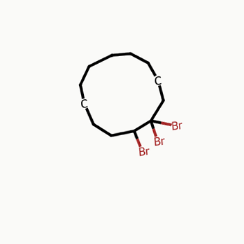 BrC1CCCCCCCCCCC1(Br)Br